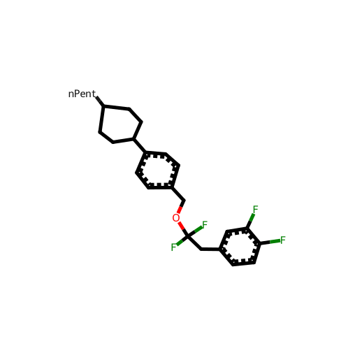 CCCCCC1CCC(c2ccc(COC(F)(F)Cc3ccc(F)c(F)c3)cc2)CC1